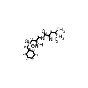 CC(C)C[C@H](N)C(=O)NC[C@@H](O)CP(=O)(O)CC1CCCCC1